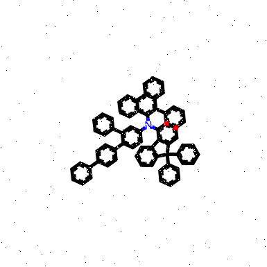 c1ccc(-c2ccc(-c3ccc(N(c4cccc5c4-c4ccccc4C5(c4ccccc4)c4ccccc4)c4c(-c5ccccc5)c5ccccc5c5ccccc45)cc3-c3ccccc3)cc2)cc1